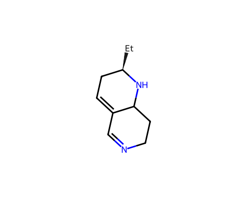 CC[C@@H]1CC=C2C=NCCC2N1